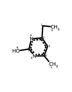 CCc1cc(C)nc(O)n1